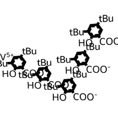 CC(C)(C)c1cc(C(=O)[O-])c(O)c(C(C)(C)C)c1.CC(C)(C)c1cc(C(=O)[O-])c(O)c(C(C)(C)C)c1.CC(C)(C)c1cc(C(=O)[O-])c(O)c(C(C)(C)C)c1.CC(C)(C)c1cc(C(=O)[O-])c(O)c(C(C)(C)C)c1.CC(C)(C)c1cc(C(=O)[O-])c(O)c(C(C)(C)C)c1.[V+5]